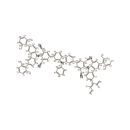 C=C/C(C)=C(\C(=C)C)c1ccc2c(c1)c1cc(C(=C(C)C)/C(C)=C\C)ccc1n2-c1c(C#N)cc(-c2ccc3c4ccc(-c5cc(C#N)c(-n6c7ccc(-c8c(C)cccc8C)cc7c7cc(-c8c(C)cccc8C)ccc76)c(C#N)c5)cc4n(-c4ccccc4)c3c2)cc1C#N